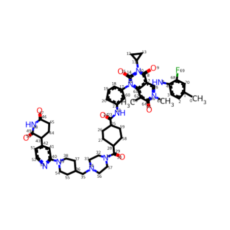 Cc1ccc(Nc2c3c(=O)n(C4CC4)c(=O)n(-c4cccc(NC(=O)C5CCC(C(=O)N6CCN(CC7CCN(c8cc(C9CCC(=O)NC9=O)ccn8)CC7)CC6)CC5)c4)c3c(C)c(=O)n2C)c(F)c1